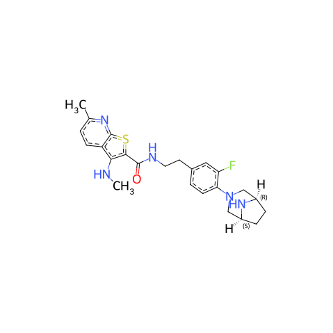 CNc1c(C(=O)NCCc2ccc(N3C[C@H]4CC[C@@H](C3)N4)c(F)c2)sc2nc(C)ccc12